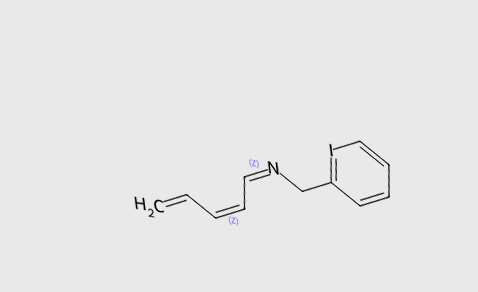 C=C/C=C\C=N/CC1=IC=CC=C1